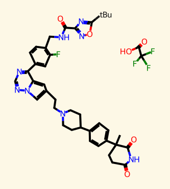 CC(C)(C)c1nc(C(=O)NCc2ccc(-c3ncnn4cc(CCN5CCC(c6ccc(C7(C)CCC(=O)NC7=O)cc6)CC5)cc34)cc2F)no1.O=C(O)C(F)(F)F